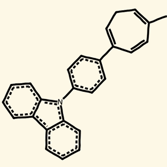 CC1=CCC=C(c2ccc(-n3c4ccccc4c4ccccc43)cc2)C=C1